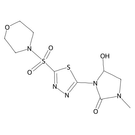 CN1CC(O)N(c2nnc(S(=O)(=O)N3CCOCC3)s2)C1=O